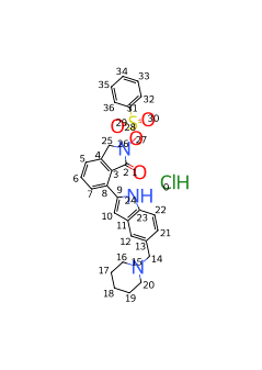 Cl.O=C1c2c(cccc2-c2cc3cc(CN4CCCCC4)ccc3[nH]2)CN1OS(=O)(=O)c1ccccc1